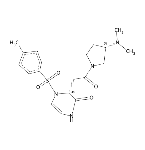 Cc1ccc(S(=O)(=O)N2C=CNC(=O)[C@H]2CC(=O)N2CC[C@H](N(C)C)C2)cc1